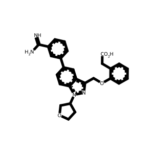 N=C(N)c1cccc(-c2ccc3c(c2)c(COc2ccccc2CC(=O)O)nn3C2CCOC2)c1